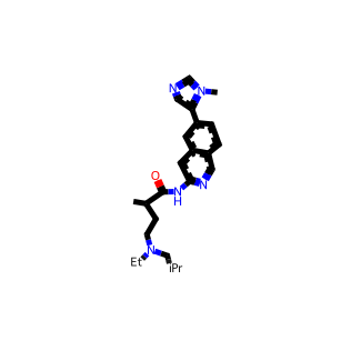 CCN(CCC(C)C(=O)Nc1cc2cc(-c3cncn3C)ccc2cn1)CC(C)C